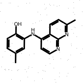 Cc1ccc(O)c(Nc2ccnc3nc(C)ccc23)c1